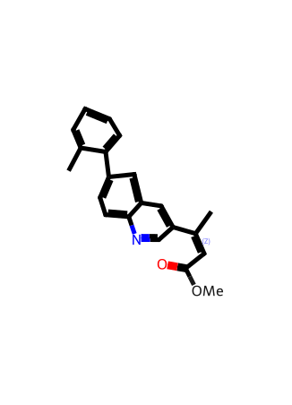 COC(=O)/C=C(/C)c1cnc2ccc(-c3ccccc3C)cc2c1